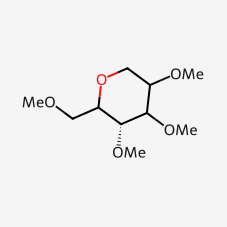 COCC1OCC(OC)C(OC)[C@@H]1OC